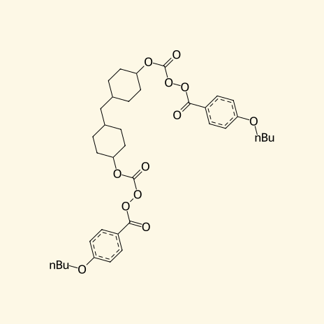 CCCCOc1ccc(C(=O)OOC(=O)OC2CCC(CC3CCC(OC(=O)OOC(=O)c4ccc(OCCCC)cc4)CC3)CC2)cc1